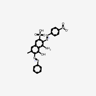 Cc1cc2cc(S(=O)(=O)O)c(/N=N/c3ccc([N+](=O)[O-])cc3)c(N)c2c(O)c1/N=N/c1ccccc1